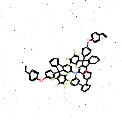 C=Cc1ccc(Oc2ccc(C3(c4c(F)c(F)c(F)c(F)c4F)C4=C(CCC=C4)c4ccc(N(c5cccc(-c6ccccc6-c6ccccc6)c5)c5ccc6c(c5)C(c5ccc(Oc7ccc(C=C)cc7)cc5)(c5c(F)c(F)c(F)c(F)c5F)c5ccccc5-6)cc43)cc2)cc1